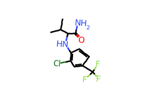 CC(C)C(Nc1ccc(C(F)(F)F)cc1Cl)C(N)=O